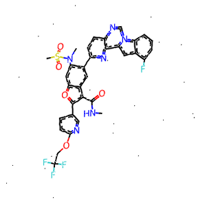 CNC(=O)c1c(-c2ccc(OCC(F)(F)F)nc2)oc2cc(N(C)S(C)(=O)=O)c(-c3ccc4ncn5c6cccc(F)c6cc5c4n3)cc12